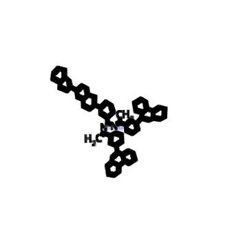 C=C(/N=C(\N=C(/C)c1cccc(-c2cc3ccccc3c3ccccc23)c1)c1cccc(-c2ccc3cc(-c4ccc5ccccc5c4)ccc3c2)c1)c1cccc(-c2cc3ccccc3c3ccccc23)c1